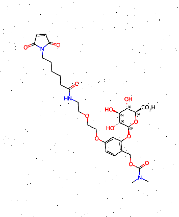 CN(C)C(=O)OCc1ccc(OCCOCCNC(=O)CCCCCN2C(=O)C=CC2=O)cc1O[C@@H]1O[C@H](C(=O)O)[C@@H](O)[C@H](O)[C@H]1O